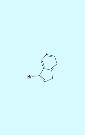 BrC1=CCc2cc[c]cc21